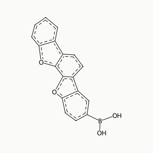 OB(O)c1ccc2oc3c(ccc4c5ccccc5oc43)c2c1